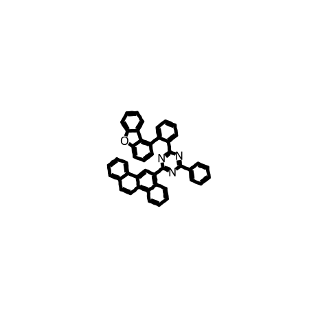 c1ccc(-c2nc(-c3ccccc3-c3cccc4oc5ccccc5c34)nc(-c3cc4c5ccccc5ccc4c4ccccc34)n2)cc1